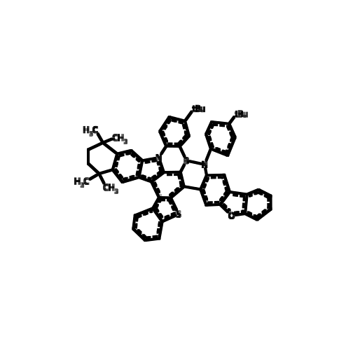 CC(C)(C)c1ccc(N2B3c4cc(C(C)(C)C)ccc4-n4c5cc6c(cc5c5c7c(sc8ccccc87)c(c3c54)-c3cc4oc5ccccc5c4cc32)C(C)(C)CCC6(C)C)cc1